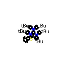 CC(C)(C)c1ccc(N(c2ccc(C(C)(C)C)cc2)c2cc3c4c(c2)N(c2ccc(C(C)(C)C)cc2)c2c(sc5cc6c(cc25)C(C)(C)CCC6(C)C)B4c2cc(C(C)(C)C)ccc2N3c2ccc(C(C)(C)C)cc2)cc1